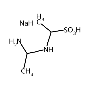 CC(N)NC(C)S(=O)(=O)O.[NaH]